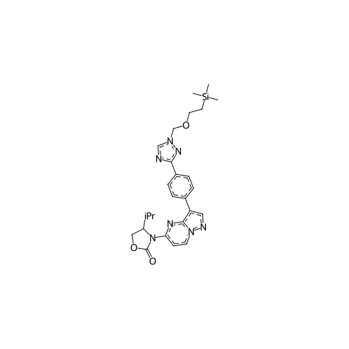 CC(C)C1COC(=O)N1c1ccn2ncc(-c3ccc(-c4ncn(COCC[Si](C)(C)C)n4)cc3)c2n1